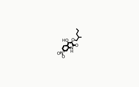 CCCC(C)COc1c(O)c2ccc([N+](=O)[O-])cc2[nH]c1=O